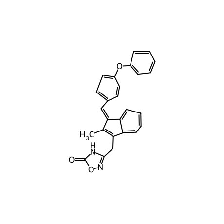 CC1=C(Cc2noc(=O)[nH]2)c2ccccc2/C1=C\c1ccc(Oc2ccccc2)cc1